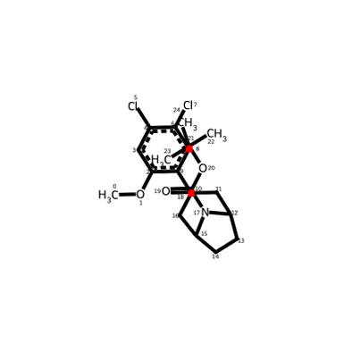 COc1cc(Cl)c(Cl)cc1C1CC2CCC(C1)N2C(=O)OC(C)(C)C